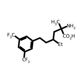 CCC(CCc1cc(C(F)(F)F)cc(C(F)(F)F)c1)CC(C)(N)C(=O)O